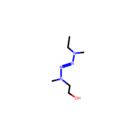 CCN(C)/N=N/N(C)CCO